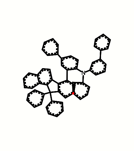 c1ccc(-c2cccc(N(c3ccccc3)c3ccc(-c4ccccc4)cc3-c3cccc4c3-c3ccc5ccccc5c3C4(c3ccccc3)c3ccccc3)c2)cc1